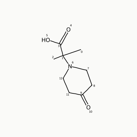 CC(C)(C(=O)O)N1CCC(=O)CC1